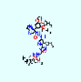 COc1cc(-c2c(NC(=O)Nc3cnc(-c4noc(CNC(=O)OC(C)(C)C)n4)c(C)c3)cnc3ccnn23)cc(OC)c1OC